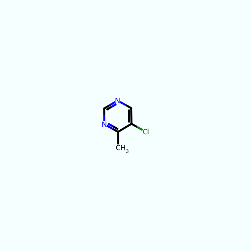 Cc1ncncc1Cl